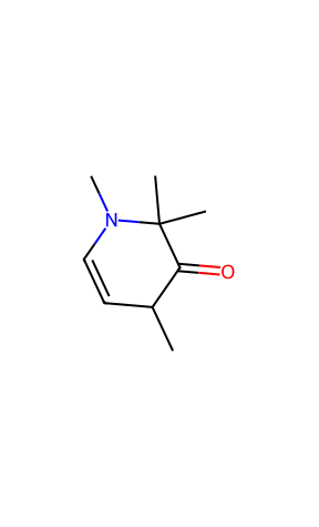 CC1C=CN(C)C(C)(C)C1=O